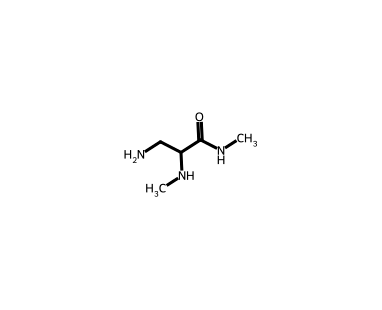 CNC(=O)C(CN)NC